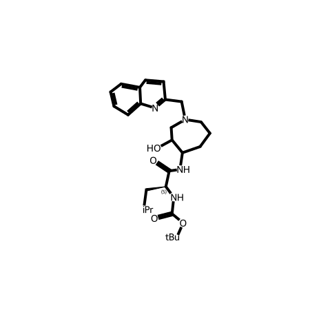 CC(C)C[C@H](NC(=O)OC(C)(C)C)C(=O)NC1CCCN(Cc2ccc3ccccc3n2)CC1O